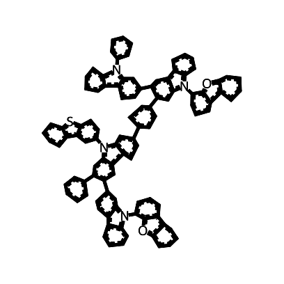 c1ccc(-c2cc3c(cc2-c2ccc4c5ccccc5n(-c5cccc6c5oc5ccccc56)c4c2)c2ccc(-c4ccc(-c5cc6c(cc5-c5ccc7c8ccccc8n(-c8ccccc8)c7c5)c5ccccc5n6-c5cccc6c5oc5ccccc56)cc4)cc2n3-c2ccc3sc4ccccc4c3c2)cc1